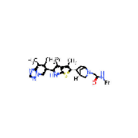 CCNC(=O)CN1C[C@@H]2CC1C[C@H]2c1sc2[nH]c(-c3cn4ncnc4c(C)c3C)c(C(C)C)c2c1C